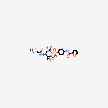 C=CC(=O)NC1CC(C)N(S(=O)(=O)c2ccc(NC(=O)c3ccco3)cc2)C(C)C1